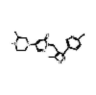 Cc1ccc(-c2noc(C)c2Cn2ncc(N3CCN[C@@H](C)C3)cc2=O)cn1